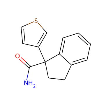 NC(=O)C1(c2ccsc2)CCc2ccccc21